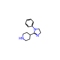 c1ccc(N2CCN=C2C2CCNCC2)cc1